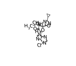 CC1(C)O[C@@H]2[C@H](O1)[C@@H](c1nc(C3CC3)no1)O[C@H]2n1cnc2c(Cl)ncnc21